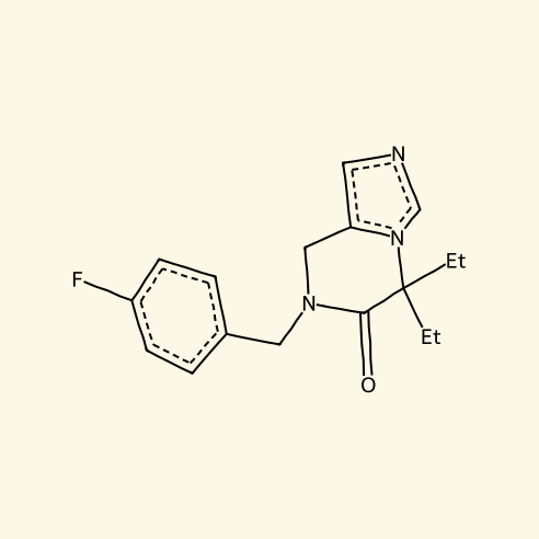 CCC1(CC)C(=O)N(Cc2ccc(F)cc2)Cc2cncn21